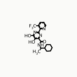 CC(NC(=O)c1nc(-c2ncccc2C(F)(F)F)nc(O)c1O)C1CCCCC1